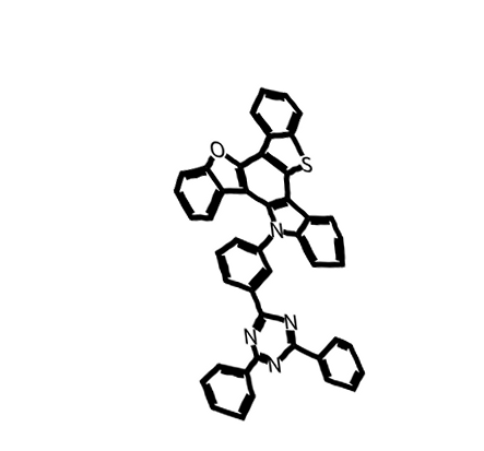 c1ccc(-c2nc(-c3ccccc3)nc(-c3cccc(-n4c5ccccc5c5c6sc7ccccc7c6c6oc7ccccc7c6c54)c3)n2)cc1